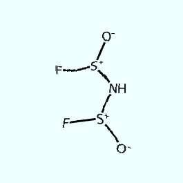 [O-][S+](F)N[S+]([O-])F